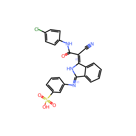 N#C/C(C(=O)Nc1ccc(Cl)cc1)=C1/N/C(=N\c2cccc(S(=O)(=O)O)c2)c2ccccc21